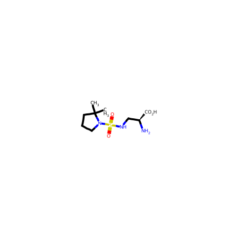 CC1(C)CCCN1S(=O)(=O)NC[C@H](N)C(=O)O